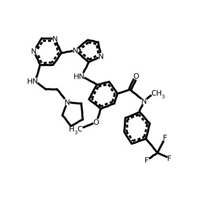 COc1cc(Nc2nccn2-c2cc(NCCN3CCCC3)ncn2)cc(C(=O)N(C)c2cccc(C(F)(F)F)c2)c1